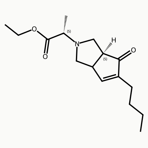 CCCCC1=CC2CN([C@@H](C)C(=O)OCC)C[C@H]2C1=O